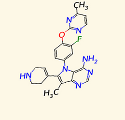 Cc1ccnc(Oc2ccc(-n3c(C4=CCNCC4)c(C)c4ncnc(N)c43)cc2F)n1